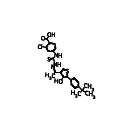 C/C(=N/NC(=S)Nc1ccc(C(=O)O)c(Cl)c1)c1csc(-c2ccc(C(C)(C)C)cc2)c1O